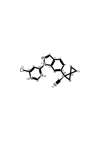 N#C[C@]1(c2ccc3cnn(-c4cc(Cl)ncn4)c3c2)CC12CC2